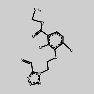 CCOC(=O)c1ccc(Cl)c(OCCn2nnnc2C=S)c1Cl